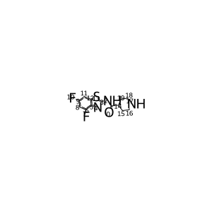 O=C(Nc1nc2c(F)cc(F)cc2s1)C1CCNCC1